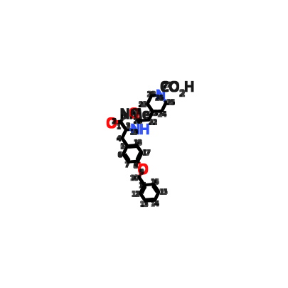 CNC(=O)C(Cc1ccc(OCc2ccccc2)cc1)NC(=O)CC1CCN(C(=O)O)CC1